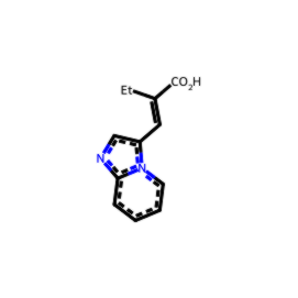 CC/C(=C\c1cnc2ccccn12)C(=O)O